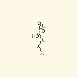 CC1=C(C)C(=O)C(CCC(C)(O)CCCC(C)CCCC(C)CCCC(C)I)=C(C)C1=O